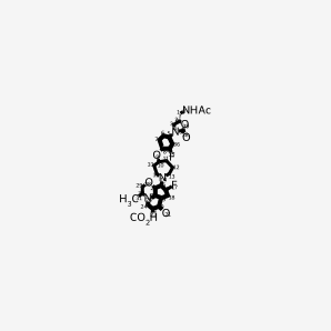 CC(=O)NC[C@H]1CN(c2ccc(OC3CCCN(c4c(F)cc5c(=O)c(C(=O)O)cn6c5c4OCC6C)CC3)c(F)c2)C(=O)O1